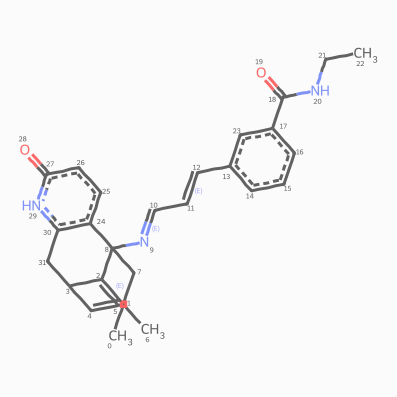 C/C=C1\C2C=C(C)CC1(/N=C/C=C/c1cccc(C(=O)NCC)c1)c1ccc(=O)[nH]c1C2